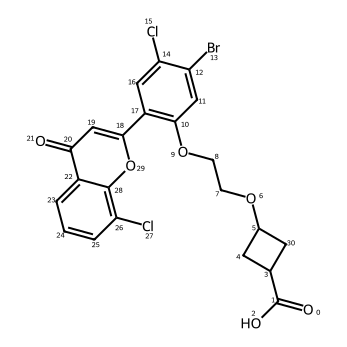 O=C(O)C1CC(OCCOc2cc(Br)c(Cl)cc2-c2cc(=O)c3cccc(Cl)c3o2)C1